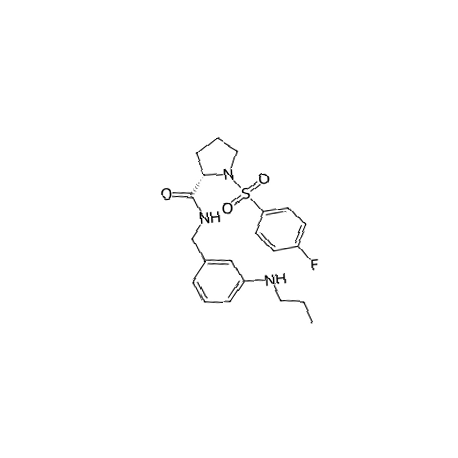 CCCNc1cccc(CNC(=O)[C@@H]2CCCN2S(=O)(=O)c2ccc(F)cc2)c1